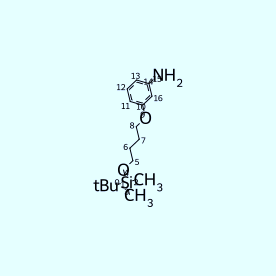 CC(C)(C)[Si](C)(C)OCCCCOc1cccc(N)c1